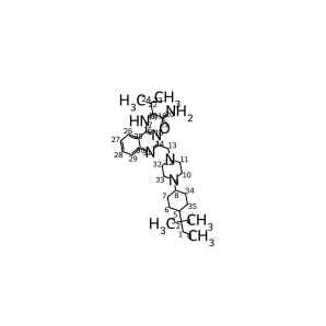 CCC(C)(C)C1CCC(N2CCN(Cc3nc(N[C@H](C(N)=O)C(C)C)c4ccccc4n3)CC2)CC1